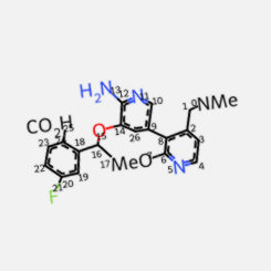 CNCc1ccnc(OC)c1-c1cnc(N)c(OC(C)c2cc(F)ccc2C(=O)O)c1